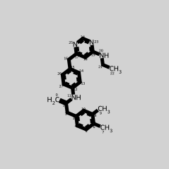 C=C(Cc1ccc(C)c(C)c1)Nc1ccc(Cc2cc(NCC)ncn2)cc1